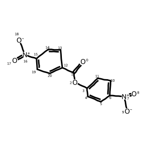 O=C(Oc1ccc([N+](=O)[O-])cc1)c1ccc([N+](=O)[O-])cc1